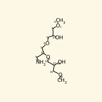 COCC(O)COCC(CN)OCC(O)COC